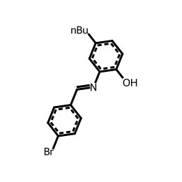 CCCCc1ccc(O)c(/N=C/c2ccc(Br)cc2)c1